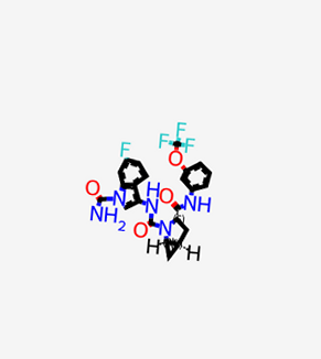 NC(=O)n1cc(NC(=O)N2[C@@H]3C[C@@H]3C[C@H]2C(=O)Nc2cccc(OC(F)(F)F)c2)c2ccc(F)cc21